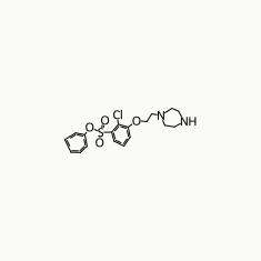 O=S(=O)(Oc1ccccc1)c1cccc(OCCN2CCNCC2)c1Cl